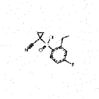 CCc1cc(F)ccc1P(=O)(O)C1(C#N)CC1